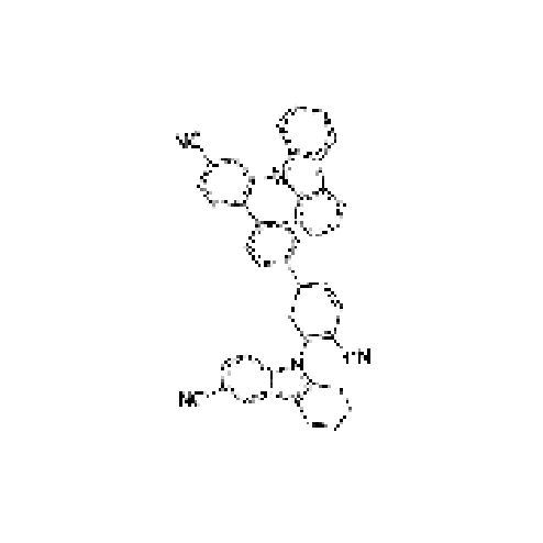 N#CC1=C(n2c3c(c4cc(C#N)ccc42)C=CCC3)CC(c2ccc(-c3ccc(C#N)cc3-n3c4ccccc4c4ccccc43)cc2)C=C1